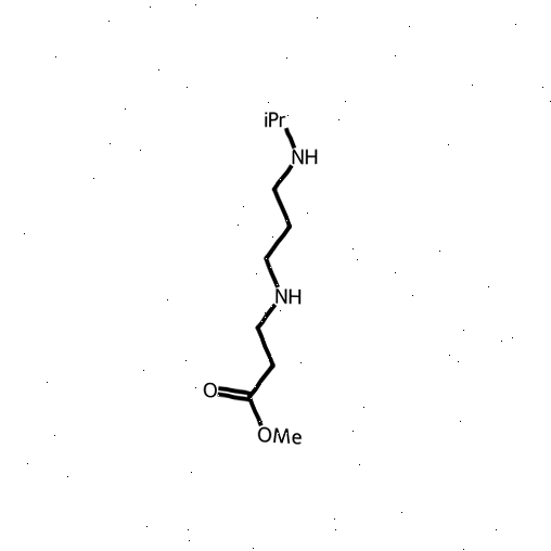 COC(=O)CCNCCCNC(C)C